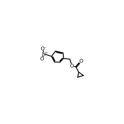 O=C(OCc1ccc([N+](=O)[O-])cc1)C1CC1